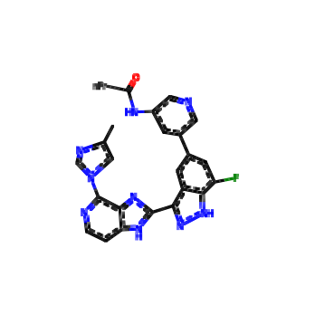 CCCC(=O)Nc1cncc(-c2cc(F)c3[nH]nc(-c4nc5c(-n6cnc(C)c6)nccc5[nH]4)c3c2)c1